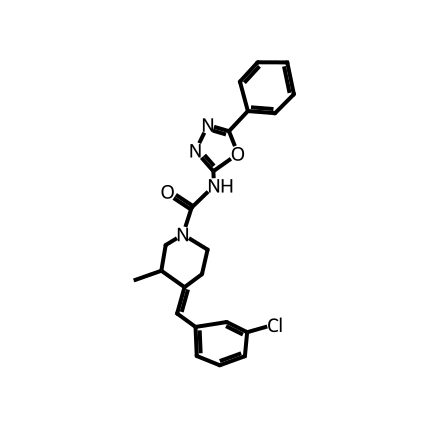 CC1CN(C(=O)Nc2nnc(-c3ccccc3)o2)CCC1=Cc1cccc(Cl)c1